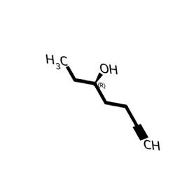 C#CCC[C@H](O)CC